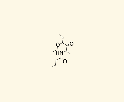 CC=C(OCC)C(=O)C(C)NC(=O)CCC